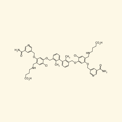 Cc1c(COc2cc(OCc3cncc(C(N)=O)c3)c(CNCCCC(=O)O)cc2Cl)cccc1-c1cccc(COc2cc(OCc3cncc(C(N)=O)c3)c(CNCCCC(=O)O)cc2Cl)c1C